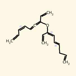 C=C/C=C\C=C=C(C=C)O/C(C=C)=C/C=C/CC=C